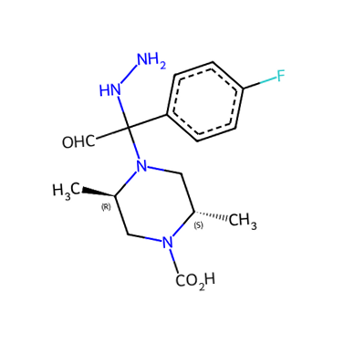 C[C@@H]1CN(C(=O)O)[C@@H](C)CN1C(C=O)(NN)c1ccc(F)cc1